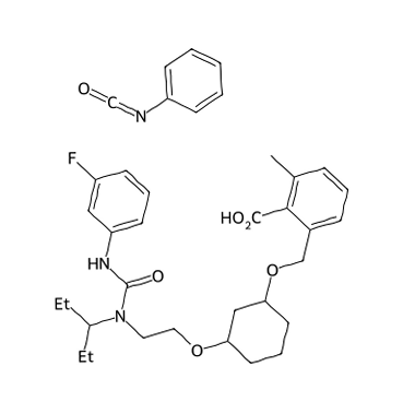 CCC(CC)N(CCOC1CCCC(OCc2cccc(C)c2C(=O)O)C1)C(=O)Nc1cccc(F)c1.O=C=Nc1ccccc1